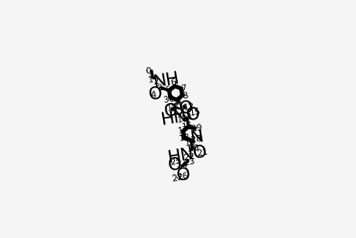 CCNC(=O)c1cccc(S(=O)(=O)NC(=O)c2ccc(C(=O)NCC(=O)OC)nc2)c1